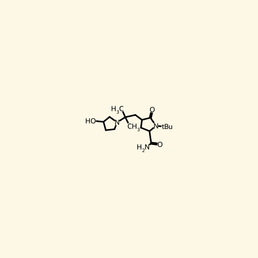 CC(C)(C)N1C(=O)C(CC(C)(C)N2CCC(O)C2)CC1C(N)=O